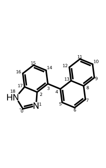 [c]1nc2c(-c3cccc4ccccc34)cccc2[nH]1